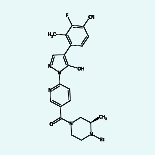 CCN1CCN(C(=O)c2ccc(-n3ncc(-c4ccc(C#N)c(F)c4C)c3O)nc2)C[C@H]1C